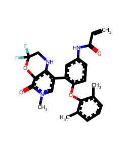 C=CC(=O)Nc1ccc(Oc2c(C)cccc2C)c(-c2cn(C)c(=O)c3c2NCC(F)(F)O3)c1